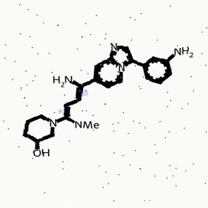 CN/C(=C\C=C(/N)c1ccn2c(-c3cccc(N)c3)cnc2c1)N1CCCC(O)C1